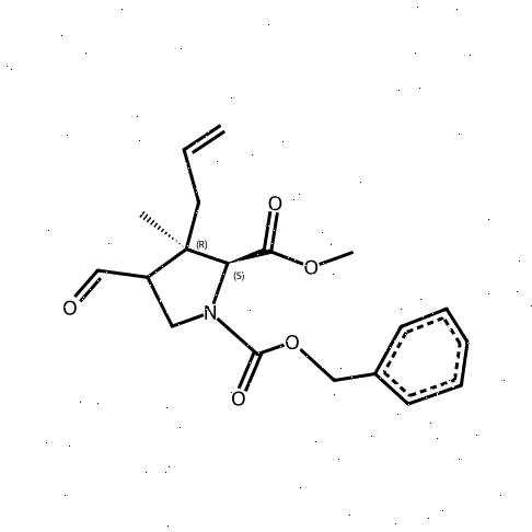 C=CC[C@]1(C)C(C=O)CN(C(=O)OCc2ccccc2)[C@@H]1C(=O)OC